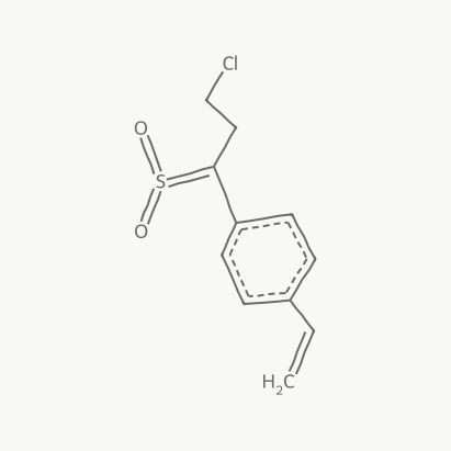 C=Cc1ccc(C(CCCl)=S(=O)=O)cc1